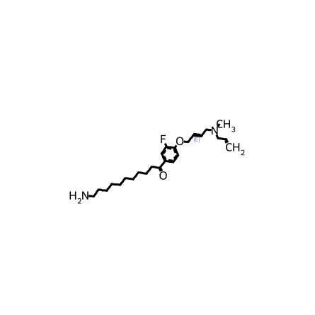 C=CCN(C)C/C=C/COc1ccc(C(=O)CCCCCCCCCCN)cc1F